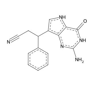 N#CCC(c1ccccc1)c1c[nH]c2c(=O)[nH]c(N)nc12